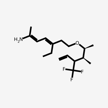 C=CC([C@H](C)[C@H](C)OCC/C(=C/C=C(\C)N)CC)C(F)(F)F